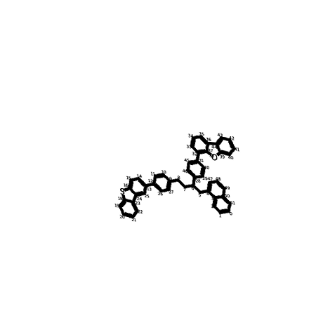 c1ccc2c(CC(CCc3ccc(-c4ccc5sc6ccccc6c5c4)cc3)c3ccc(-c4cccc5c4oc4ccccc45)cc3)cccc2c1